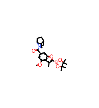 COc1cc(C(=O)N2CC3CCC2C3C)cc2oc(B3OC(C)(C)C(C)(C)O3)c(C)c12